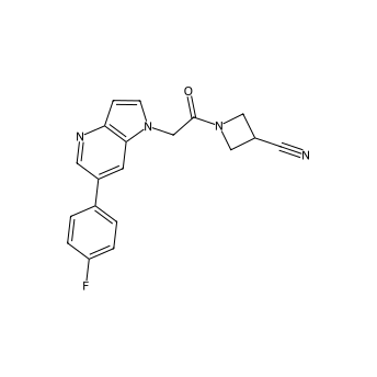 N#CC1CN(C(=O)Cn2ccc3ncc(-c4ccc(F)cc4)cc32)C1